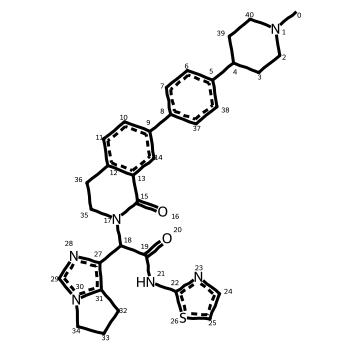 CN1CCC(c2ccc(-c3ccc4c(c3)C(=O)N(C(C(=O)Nc3nccs3)c3ncn5c3CCC5)CC4)cc2)CC1